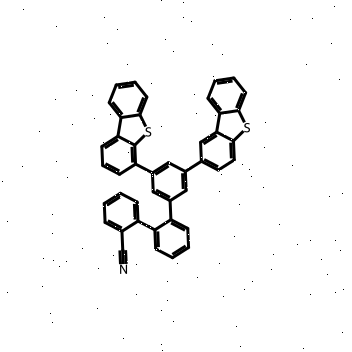 N#Cc1ccccc1-c1ccccc1-c1cc(-c2ccc3sc4ccccc4c3c2)cc(-c2cccc3c2sc2ccccc23)c1